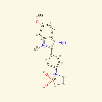 CC[C@@H](C)Oc1ccc2c(N)c(-c3ccc(N4CCCS4(=O)=O)cc3)n(CC)c2c1